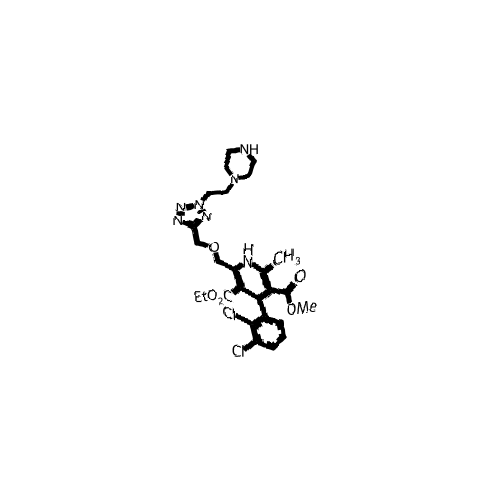 CCOC(=O)C1=C(COCc2nnn(CCN3CCNCC3)n2)NC(C)=C(C(=O)OC)C1c1cccc(Cl)c1Cl